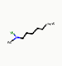 CCCCCCCCCCN(Br)C(C)=O